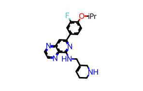 CC(C)Oc1ccc(-c2cc3nccnc3c(NCC3=CCCNC3)n2)cc1F